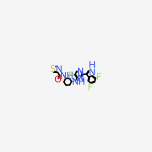 O=C(N[C@@H]1CCC[C@H](Nc2nc(-c3c[nH]c4c(F)cc(F)cc34)ncc2F)C1)c1cscn1